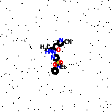 CCN(c1ccccc1)S(=O)(=O)c1ccc(-n2[nH]c(C)c(Cc3ccc(C#N)nc3)c2=O)nc1